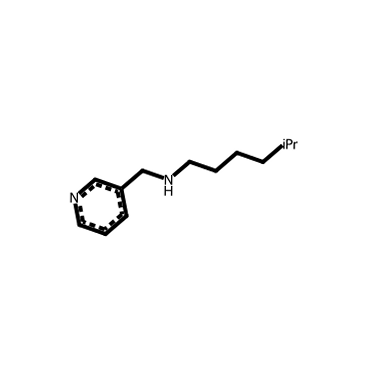 CC(C)CCCCNCc1cccnc1